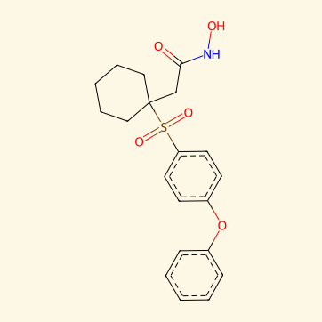 O=C(CC1(S(=O)(=O)c2ccc(Oc3ccccc3)cc2)CCCCC1)NO